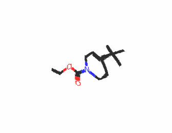 CCOC(=O)N1CC=C(C(C)(C)C)CC1